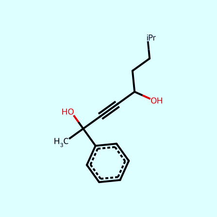 CC(C)CCC(O)C#CC(C)(O)c1ccccc1